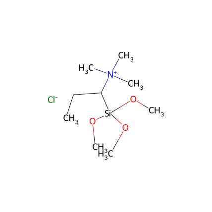 CCC([N+](C)(C)C)[Si](OC)(OC)OC.[Cl-]